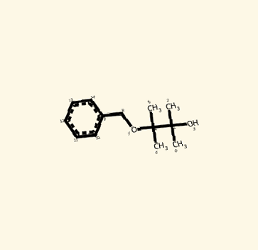 CC(C)(O)C(C)(C)OCc1ccccc1